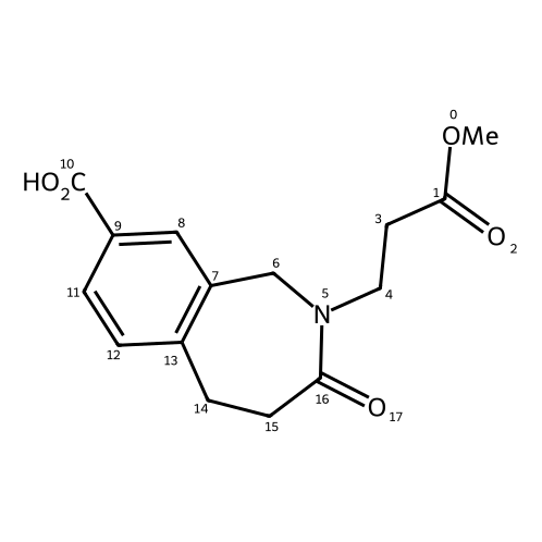 COC(=O)CCN1Cc2cc(C(=O)O)ccc2CCC1=O